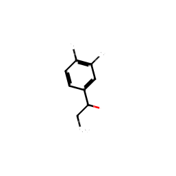 CNCC(O)c1ccc(N=O)c(N=O)c1